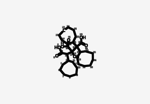 O=C(O)C(C1CCCCCCC1)C(O)(C(=O)O)C(C(=O)O)(C1CCCCCCC1)C1CCCCCCC1